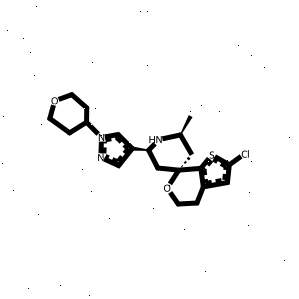 C[C@H]1C[C@@]2(C[C@@H](c3cnn(C4CCOCC4)c3)N1)OCCc1cc(Cl)sc12